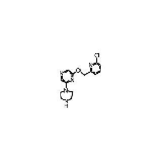 Clc1cccc(COc2cncc(N3CCNCC3)n2)n1